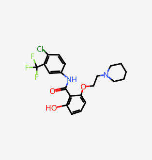 O=C(Nc1ccc(Cl)c(C(F)(F)F)c1)c1c(O)cccc1OCCN1CCCCC1